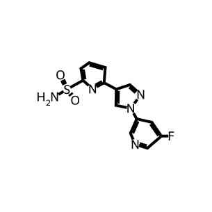 NS(=O)(=O)c1cccc(-c2cnn(-c3cncc(F)c3)c2)n1